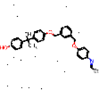 [CH2]CC=Nc1ccc(OCc2cccc(COc3ccc(C(C)(C)c4ccc(O)cc4)cc3)c2)cc1